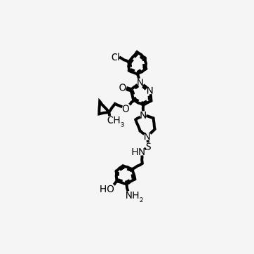 CC1(COc2c(N3CCN(SNCc4ccc(O)c(N)c4)CC3)cnn(-c3cccc(Cl)c3)c2=O)CC1